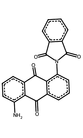 Nc1cccc2c1C(=O)c1cccc(N3C(=O)c4ccccc4C3=O)c1C2=O